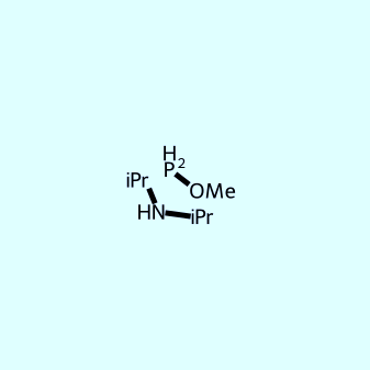 CC(C)NC(C)C.COP